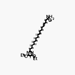 CCOc1cc(OCC)nc(CCCCCCCCC=CCCCCCCCC(N)=O)n1